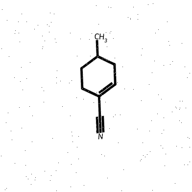 CC1CC=C(C#N)CC1